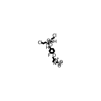 Cn1c(COc2ccc(COP(=O)(NCCCl)NCCCl)cc2F)cnc1[N+](=O)[O-]